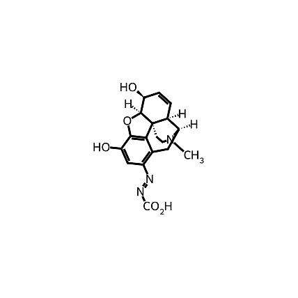 CN1CC[C@]23c4c5c(N=NC(=O)O)cc(O)c4O[C@H]2[C@@H](O)C=C[C@H]3[C@H]1C5